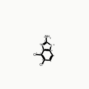 Nc1nc2c(Cl)c(Cl)ccc2s1